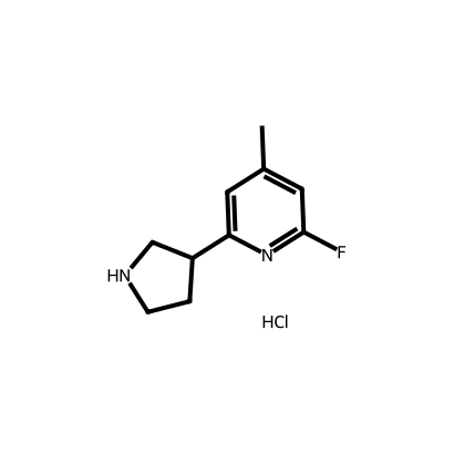 Cc1cc(F)nc(C2CCNC2)c1.Cl